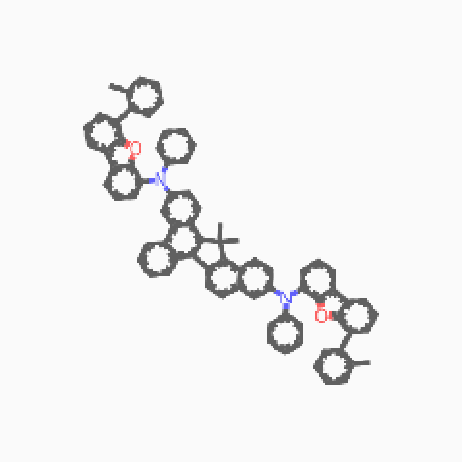 Cc1ccccc1-c1cccc2c1oc1c(N(c3ccccc3)c3ccc4c5c(ccc4c3)-c3c(c4ccc(N(c6ccccc6)c6cccc7c6oc6c(-c8ccccc8C)cccc67)cc4c4ccccc34)C5(C)C)cccc12